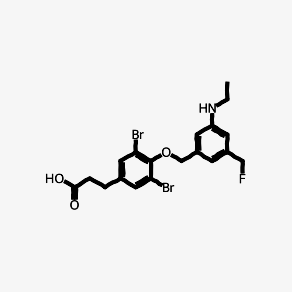 CCNc1cc(CF)cc(COc2c(Br)cc(CCC(=O)O)cc2Br)c1